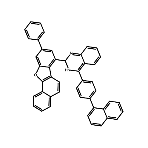 c1ccc(-c2cc(C3N=c4ccccc4=C(c4ccc(-c5cccc6ccccc56)cc4)N3)c3c(c2)oc2c4ccccc4ccc23)cc1